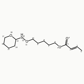 CC=CC(=O)OCCCCCO[SiH2]C1CCCCO1